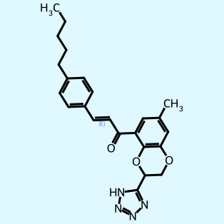 CCCCCc1ccc(/C=C/C(=O)c2cc(C)cc3c2OC(c2nnn[nH]2)CO3)cc1